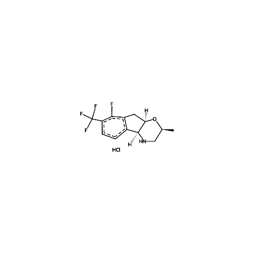 C[C@H]1CN[C@H]2c3ccc(C(F)(F)F)c(F)c3C[C@H]2O1.Cl